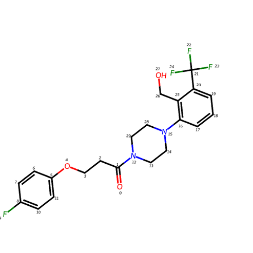 O=C(CCOc1ccc(F)cc1)N1CCN(c2cccc(C(F)(F)F)c2CO)CC1